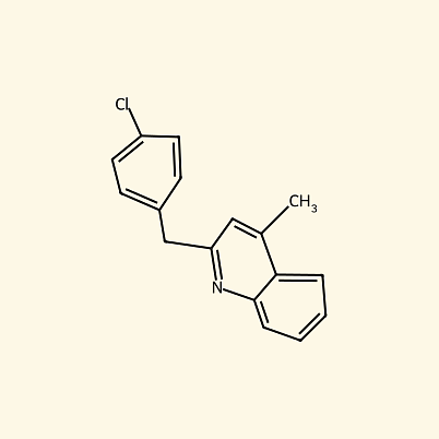 Cc1cc(Cc2ccc(Cl)cc2)nc2ccccc12